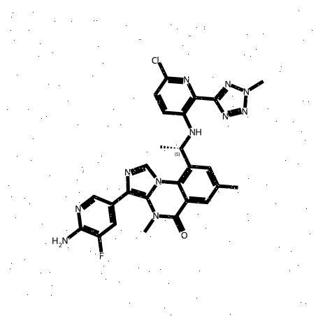 Cc1cc([C@H](C)Nc2ccc(Cl)nc2-c2nnn(C)n2)c2c(c1)c(=O)n(C)c1c(-c3cnc(N)c(F)c3)ncn21